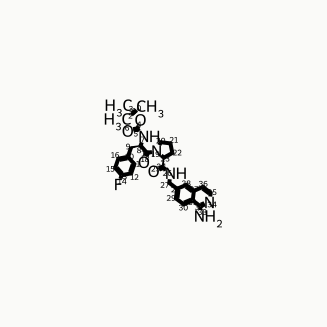 CC(C)(C)OC(=O)N[C@H](Cc1ccc(F)cc1)C(=O)N1CCC[C@H]1C(=O)NCc1ccc2c(N)nccc2c1